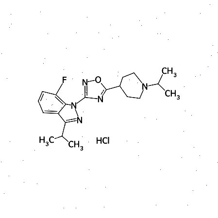 CC(C)c1nn(-c2noc(C3CCN(C(C)C)CC3)n2)c2c(F)cccc12.Cl